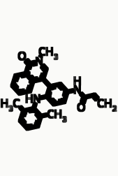 C=CC(=O)Nc1ccc(Nc2c(C)cccc2C)c(-c2cn(C)c(=O)c3ccccc23)c1